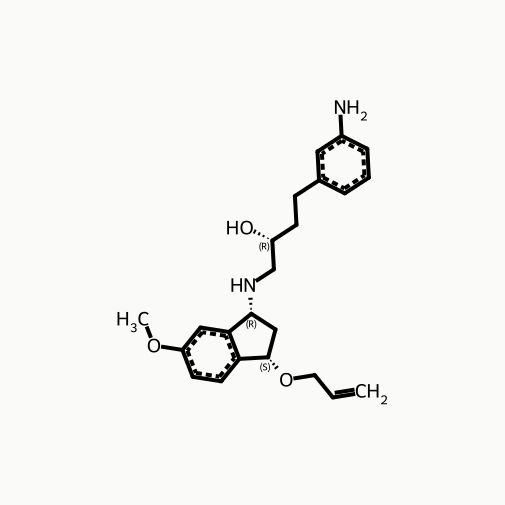 C=CCO[C@H]1C[C@@H](NC[C@H](O)CCc2cccc(N)c2)c2cc(OC)ccc21